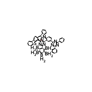 Bc1c(B)c(B)c(-c2nc(-c3cc(-c4nc(-c5ccccc5)nc(-c5ccccc5)n4)ccc3-n3c4ccccc4c4ccccc43)nc(-c3cccc4c3sc3ccccc34)n2)c(B)c1B